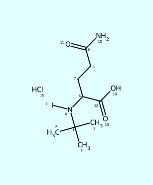 CC(C)(C)N(I)C(CCC(N)=O)C(=O)O.Cl